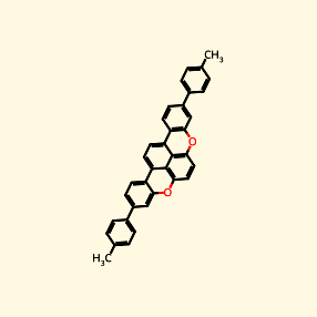 Cc1ccc(-c2ccc3c(c2)Oc2ccc4c5c(ccc-3c25)-c2ccc(-c3ccc(C)cc3)cc2O4)cc1